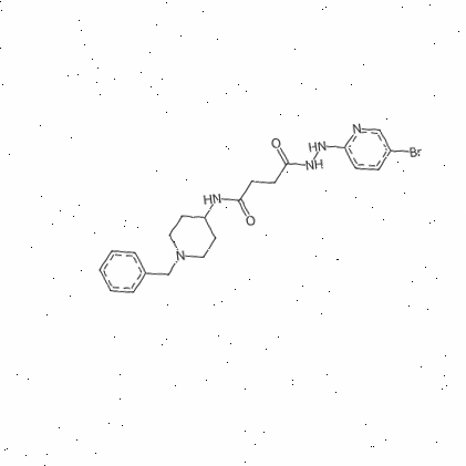 O=C(CCC(=O)NC1CCN(Cc2ccccc2)CC1)NNc1ccc(Br)cn1